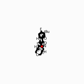 CC(C)(C)OC(=O)Nc1nc2c(s1)[C@@H]1COC[C@H](C2)N1c1cc(-c2ccc(F)cc2)on1